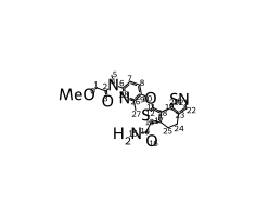 COCC(=O)N(C)c1ccc(Oc2sc(C(N)=O)c3c2-c2sncc2CC3)c(C)n1